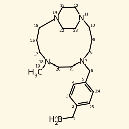 BCc1ccc(CN2CCCN3CCN(CCCN(C)CC2)CC3)cc1